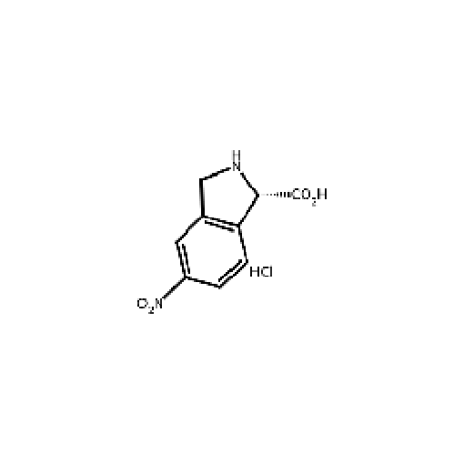 Cl.O=C(O)[C@H]1NCc2cc([N+](=O)[O-])ccc21